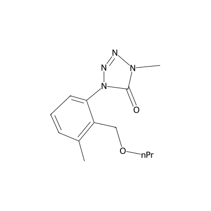 CCCOCc1c(C)cccc1-n1nnn(C)c1=O